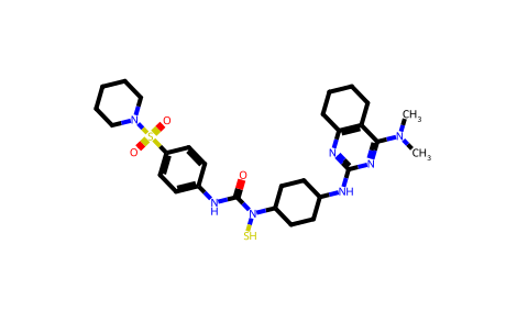 CN(C)c1nc(NC2CCC(N(S)C(=O)Nc3ccc(S(=O)(=O)N4CCCCC4)cc3)CC2)nc2c1CCCC2